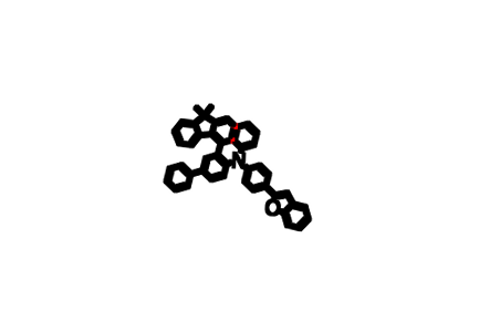 CC1(C)c2ccccc2-c2c(-c3cc(-c4ccccc4)ccc3N(c3ccccc3)c3ccc(-c4cc5ccccc5o4)cc3)cccc21